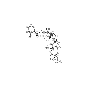 CC[C@]1(O)CC[C@@]2(C)C(=CC[C@H]3[C@@H]4CC[C@H]([C@H](C)CCC(O)c5ccccc5F)[C@@]4(C)CC[C@@H]32)C1